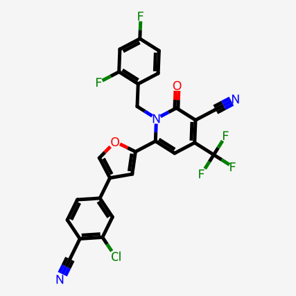 N#Cc1ccc(-c2coc(-c3cc(C(F)(F)F)c(C#N)c(=O)n3Cc3ccc(F)cc3F)c2)cc1Cl